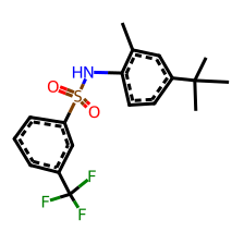 Cc1cc(C(C)(C)C)ccc1NS(=O)(=O)c1cccc(C(F)(F)F)c1